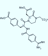 COC(=O)C[C@H]1C(=O)N(CC(=O)O)CCN1C(=O)[C@H](Cc1ccc(C(=O)OC)cc1)NC(=O)c1ccc(C(=N)N)cc1